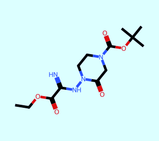 CCOC(=O)C(=N)NN1CCN(C(=O)OC(C)(C)C)CC1=O